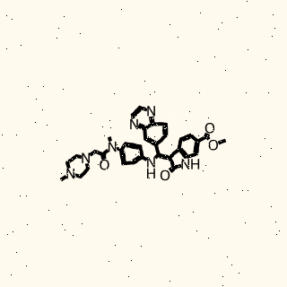 COC(=O)c1ccc2c(c1)NC(=O)/C2=C(\Nc1ccc(N(C)C(=O)CN2CCN(C)CC2)cc1)c1ccc2nccnc2c1